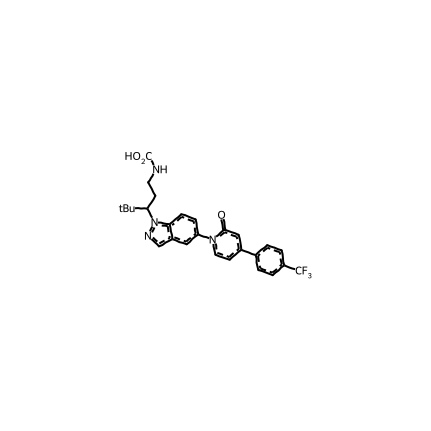 CC(C)(C)C(CCNC(=O)O)n1ncc2cc(-n3ccc(-c4ccc(C(F)(F)F)cc4)cc3=O)ccc21